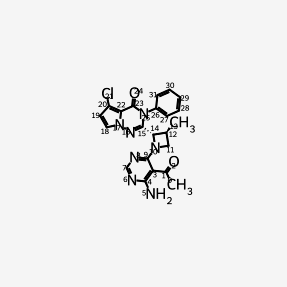 CC(=O)c1c(N)ncnc1N1C[C@H](C)[C@H]1c1nn2ccc(Cl)c2c(=O)n1-c1ccccc1